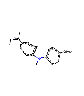 C/C=C(/C)c1ccc(N(C)c2ccc(OC)cc2)cc1